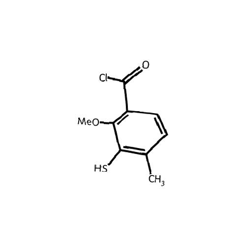 COc1c(C(=O)Cl)ccc(C)c1S